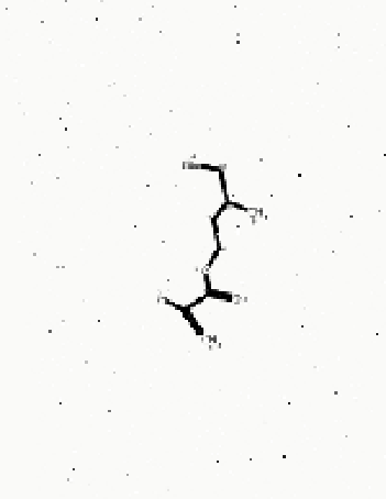 C=C(Cl)C(=O)OCCC(C)CC(C)(C)C